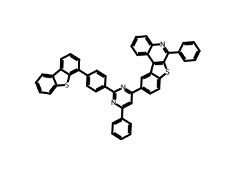 c1ccc(-c2cc(-c3ccc4sc5c(-c6ccccc6)nc6ccccc6c5c4c3)nc(-c3ccc(-c4cccc5c4sc4ccccc45)cc3)n2)cc1